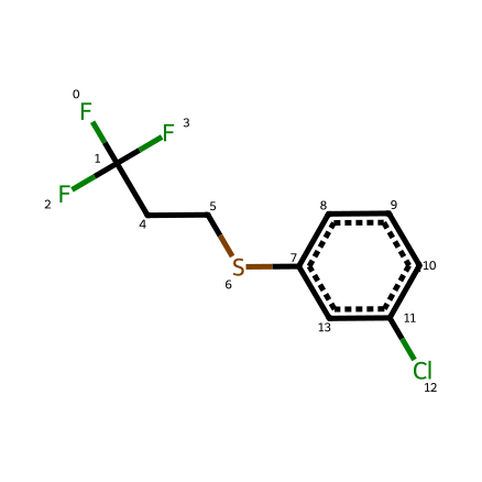 FC(F)(F)CCSc1cc[c]c(Cl)c1